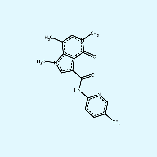 Cc1cn(C)c(=O)c2c(C(=O)Nc3ccc(C(F)(F)F)cn3)cn(C)c12